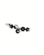 C/C(=C\N=C1/CC=CN=C1Nc1ccc(C2C=CN=C2)cc1)c1cnn(N)c1